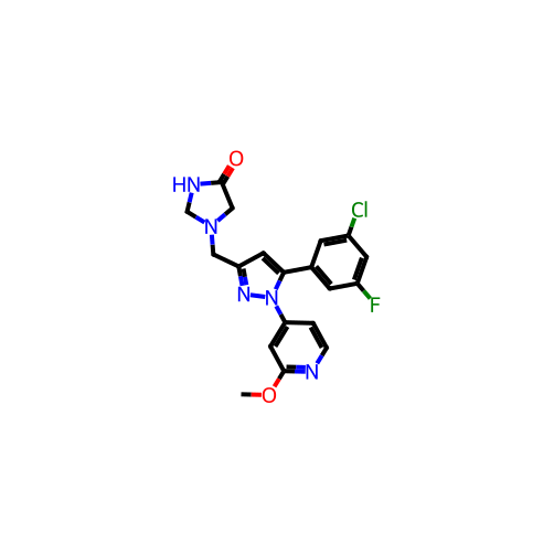 COc1cc(-n2nc(CN3CNC(=O)C3)cc2-c2cc(F)cc(Cl)c2)ccn1